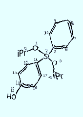 CC(C)O[Si](OC(C)C)(c1ccccc1)c1ccc(O)cc1